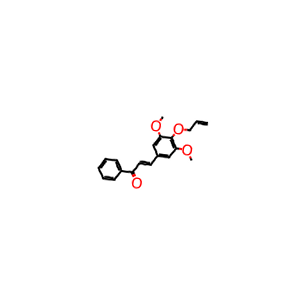 C=CCOc1c(OC)cc(C=CC(=O)c2ccccc2)cc1OC